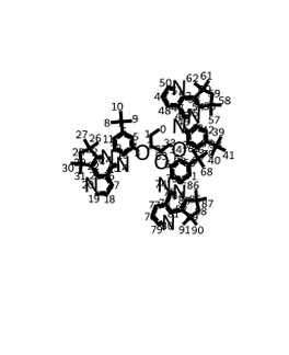 CCC(Oc1cc(C(C)(C)C)cc2c1nc1c3cccnc3c3c(n21)C(C)(C)CC3(C)C)C(COc1cc(C(C)(C)C)cc2c1nc1c3cccnc3c3c(n21)C(C)(C)CC3(C)C)Oc1cc(C(C)(C)C)cc2c1nc1c3cccnc3c3c(n21)C(C)(C)CC3(C)C